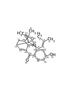 CC(C)=CCC12OC(C)(C)C3CC(C=C4C(=O)c5ccc(O)cc5OC431)C2=O